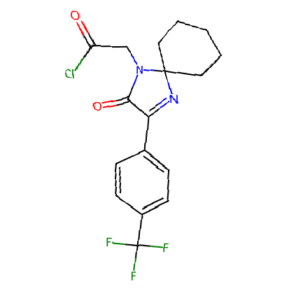 O=C(Cl)CN1C(=O)C(c2ccc(C(F)(F)F)cc2)=NC12CCCCC2